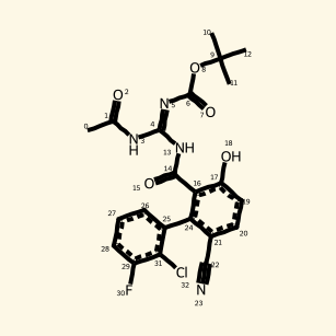 CC(=O)N/C(=N/C(=O)OC(C)(C)C)NC(=O)c1c(O)ccc(C#N)c1-c1cccc(F)c1Cl